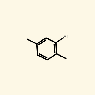 [CH]c1ccc(C)cc1CC